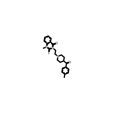 Cc1ccc(C(=O)C2CCN(CCn3c(=O)c4ccccc4n(C)c3=S)CC2)cc1